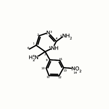 CC1=CN=C(N)NC1(N)c1cccc([N+](=O)[O-])c1